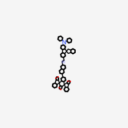 C(=C\c1ccc2cc(-c3ccc4c(c3)C3(c5ccccc5-c5ccccc53)c3ccccc3C43c4ccccc4-c4ccccc43)ccc2c1)/c1ccc2c(c1)C1(Cc3ccccc3C1)c1cc(N(c3ccccc3)c3ccccc3)ccc1-2